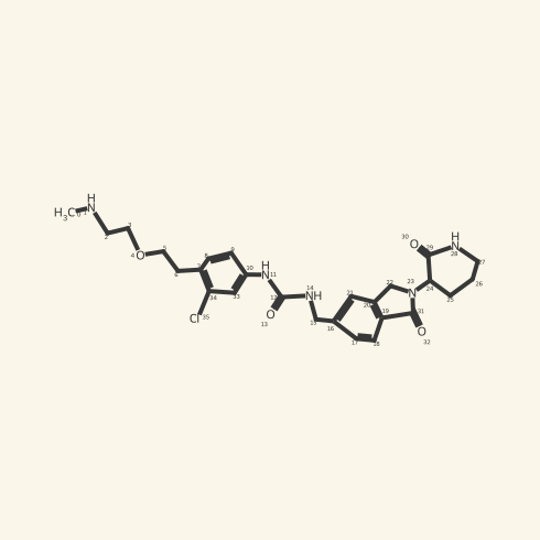 CNCCOCCc1ccc(NC(=O)NCc2ccc3c(c2)CN(C2CCCNC2=O)C3=O)cc1Cl